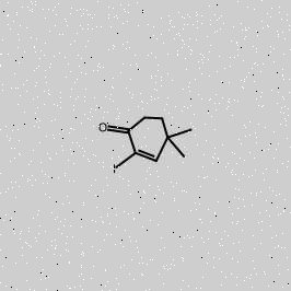 CC1(C)C=C(I)C(=O)CC1